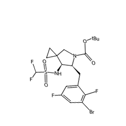 CC(C)(C)OC(=O)N1CC2(CC2)[C@H](NS(=O)(=O)C(F)F)[C@@H]1Cc1cc(F)cc(Br)c1F